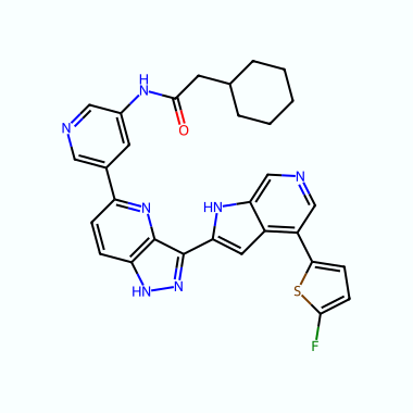 O=C(CC1CCCCC1)Nc1cncc(-c2ccc3[nH]nc(-c4cc5c(-c6ccc(F)s6)cncc5[nH]4)c3n2)c1